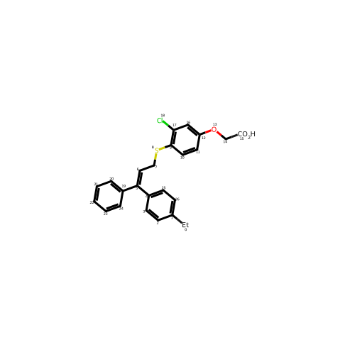 CCc1ccc(/C(=C\CSc2ccc(OCC(=O)O)cc2Cl)c2ccccc2)cc1